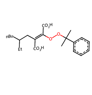 CCCCC(CC)C/C(C(=O)O)=C(/OOC(C)(C)c1ccccc1)C(=O)O